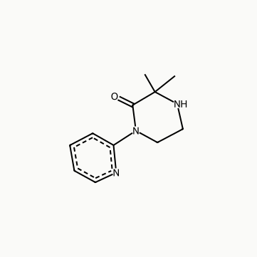 CC1(C)NCCN(c2ccccn2)C1=O